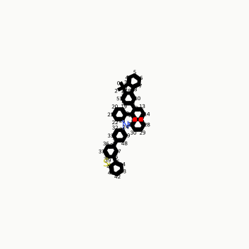 CC1(C)c2ccccc2-c2cc(-c3ccccc3-c3ccccc3N(c3ccccc3)c3ccc(-c4ccc5sc6ccccc6c5c4)cc3)ccc21